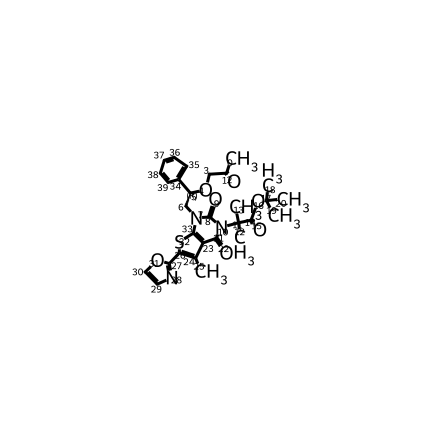 CC(=O)CO[C@@H](Cn1c(=O)n(C(C)(C)C(=O)OC(C)(C)C)c(=O)c2c(C)c(-c3ncco3)sc21)c1ccccc1